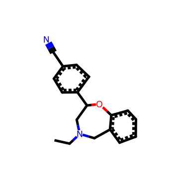 CCN1Cc2ccccc2OC(c2ccc(C#N)cc2)C1